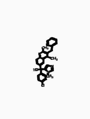 Cc1nc2ccc(C(O)(c3ccc(Cl)cc3)c3cncn3C)cc2c(C)c1Cc1ccccc1